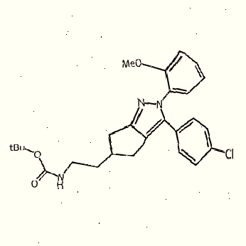 COc1ccccc1-n1nc2c(c1-c1ccc(Cl)cc1)CC(CCNC(=O)OC(C)(C)C)C2